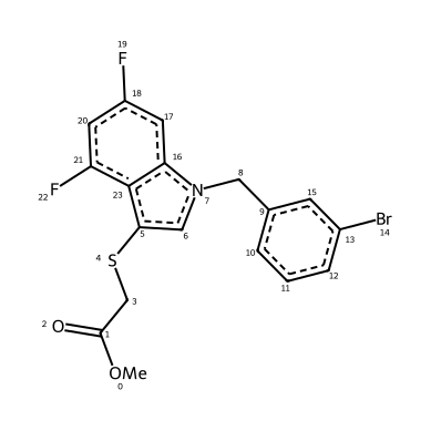 COC(=O)CSc1cn(Cc2cccc(Br)c2)c2cc(F)cc(F)c12